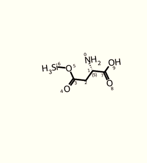 N[C@@H](CC(=O)O[SiH3])C(=O)O